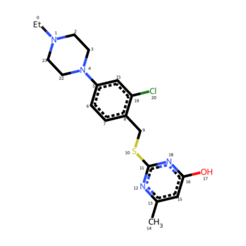 CCN1CCN(c2ccc(CSc3nc(C)cc(O)n3)c(Cl)c2)CC1